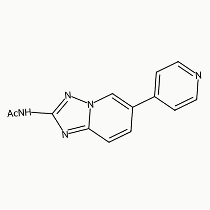 CC(=O)Nc1nc2ccc(-c3ccncc3)cn2n1